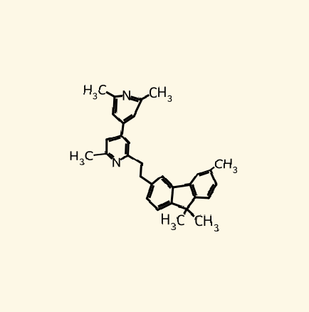 Cc1ccc2c(c1)-c1cc(CCc3cc(-c4cc(C)nc(C)c4)cc(C)n3)ccc1C2(C)C